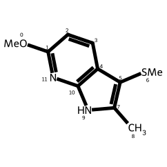 COc1ccc2c(SC)c(C)[nH]c2n1